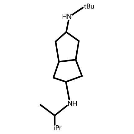 CC(C)C(C)NC1CC2CC(NC(C)(C)C)CC2C1